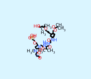 CC(C)C(=O)OCc1ccc(NC(=O)CNC(=O)C(NC(=O)CN2C(=O)C(N(C)C(=O)/C=C\C=O)CC2COCCS(=O)(=O)O)C(C)C)cc1C#CCOC(C)(C)CCO